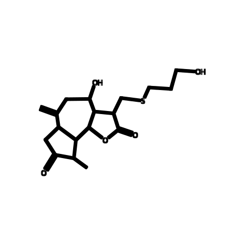 C=C1CC(O)C2C(CSCCCO)C(=O)OC2C2C(C)C(=O)CC12